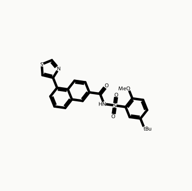 COc1ccc(C(C)(C)C)cc1S(=O)(=O)NC(=O)c1ccc2c(-c3cscn3)cccc2c1